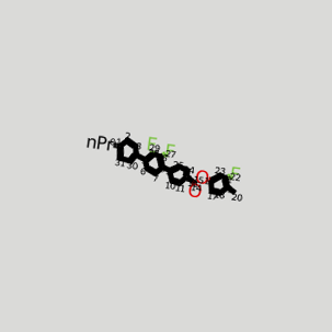 CCCc1ccc(-c2ccc(-c3ccc(C(=O)Oc4ccc(C)c(F)c4)cc3)c(F)c2F)cc1